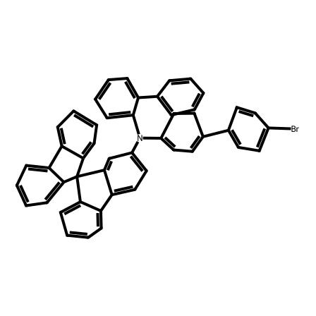 Brc1ccc(C2=CC=C(N(c3ccc4c(c3)C3(c5ccccc5-c5ccccc53)c3ccccc3-4)c3ccccc3-c3ccccc3)CC2)cc1